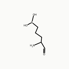 NC(C=O)CCCB(O)O